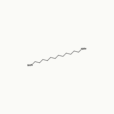 CNCCCCCCCCCCCCNC